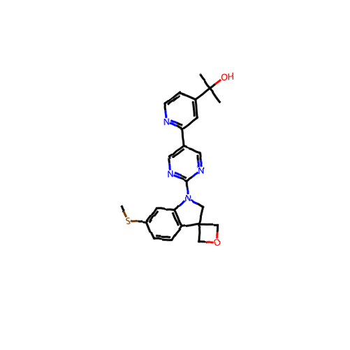 CSc1ccc2c(c1)N(c1ncc(-c3cc(C(C)(C)O)ccn3)cn1)CC21COC1